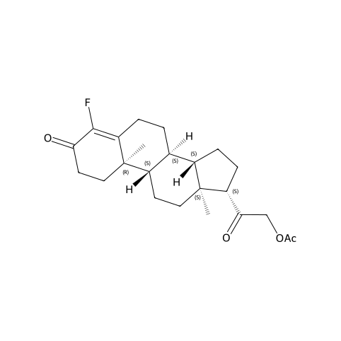 CC(=O)OCC(=O)[C@H]1CC[C@H]2[C@@H]3CCC4=C(F)C(=O)CC[C@]4(C)[C@H]3CC[C@]12C